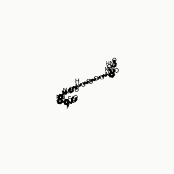 O=C(CN1CCC(n2cc(-c3cnc4cccc(-c5cc(F)c(CN6CCOCC6)c(F)c5)c4n3)cn2)C1)NCCOCCOOCCOCCOCCNc1cccc2c1C(=O)N(C1CCC(=O)NC1=O)C2=O